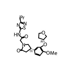 COc1ccc([C@@H]2CC(=O)N(CC(=O)Nc3nc(C(C)C)ns3)C2)cc1O[C@@H]1CCOC1